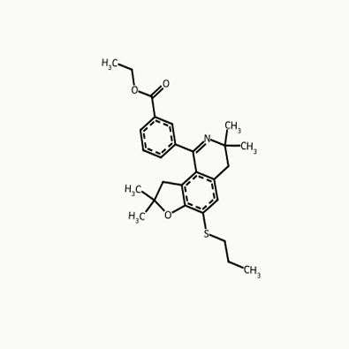 CCCSc1cc2c(c3c1OC(C)(C)C3)C(c1cccc(C(=O)OCC)c1)=NC(C)(C)C2